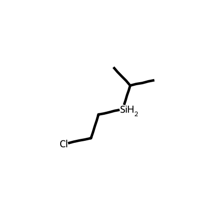 CC(C)[SiH2]CCCl